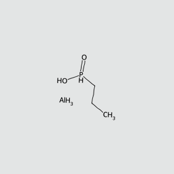 CCC[PH](=O)O.[AlH3]